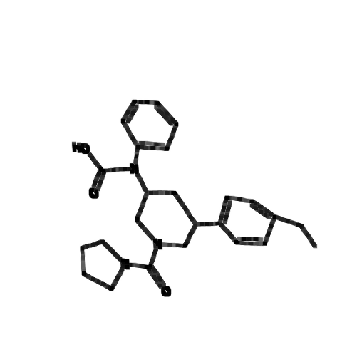 CCc1ccc(C2CC(N(C(=O)O)c3ccccc3)CN(C(=O)N3CCCC3)C2)cc1